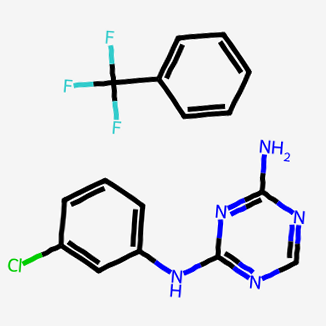 FC(F)(F)c1ccccc1.Nc1ncnc(Nc2cccc(Cl)c2)n1